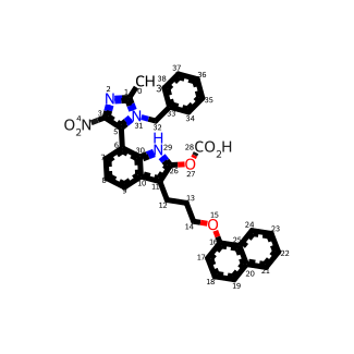 Cc1nc([N+](=O)[O-])c(-c2cccc3c(CCCOc4cccc5ccccc45)c(OC(=O)O)[nH]c23)n1Cc1ccccc1